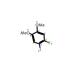 COc1cc(F)c(I)cc1OC